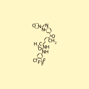 C=C(/C=C\C=C(/C)NC(=O)Nc1ccc(Cl)c(C(F)(F)F)c1)C(=O)c1ccc2ncc(N3CCOCC3)nc2c1